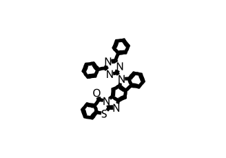 O=c1c2ccccc2sc2nc3cc4c5ccccc5n(-c5nc(-c6ccccc6)nc(-c6ccccc6)n5)c4cc3n12